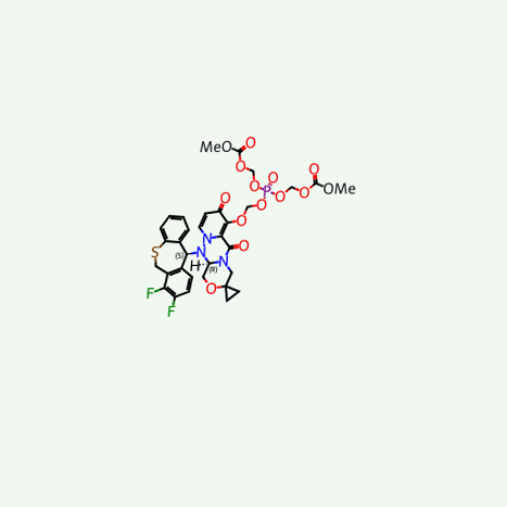 COC(=O)OCOP(=O)(OCOC(=O)OC)OCOc1c2n(ccc1=O)N([C@@H]1c3ccccc3SCc3c1ccc(F)c3F)[C@@H]1COC3(CC3)CN1C2=O